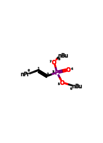 CCCC=CP(=O)(OCCCC)OCCCC